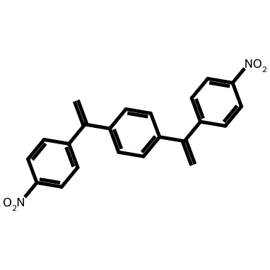 C=C(c1ccc(C(=C)c2ccc([N+](=O)[O-])cc2)cc1)c1ccc([N+](=O)[O-])cc1